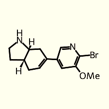 COc1cc(C2=CC[C@@H]3CCN[C@@H]3C2)cnc1Br